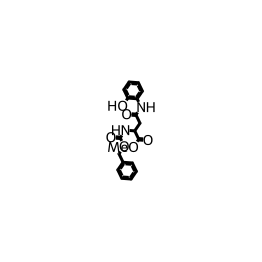 COC(=O)C(CC(=O)Nc1ccccc1O)NC(=O)OCc1ccccc1